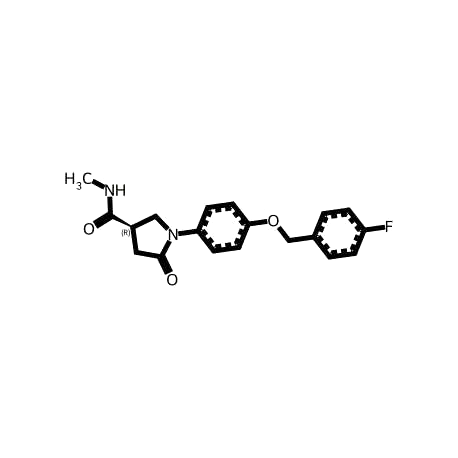 CNC(=O)[C@@H]1CC(=O)N(c2ccc(OCc3ccc(F)cc3)cc2)C1